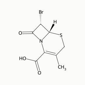 CC1=C(C(=O)O)N2C(=O)[C@H](Br)[C@@H]2SC1